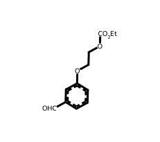 CCOC(=O)OCCOc1cccc(C=O)c1